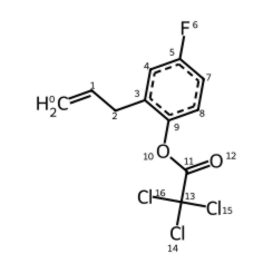 C=CCc1cc(F)ccc1OC(=O)C(Cl)(Cl)Cl